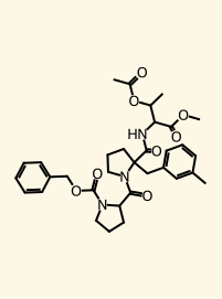 COC(=O)C(NC(=O)C1(Cc2cccc(C)c2)CCCN1C(=O)C1CCCN1C(=O)OCc1ccccc1)C(C)OC(C)=O